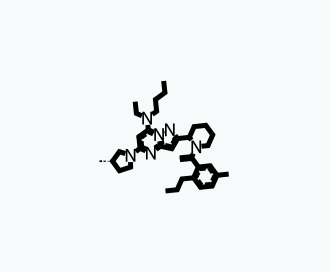 C=C(c1cc(C)ccc1CCC)N1CCCCC1c1cc2nc(N3CC[C@H](C)C3)cc(N(CC)CCCC)n2n1